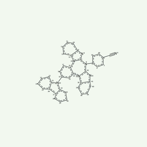 N#Cc1ccc(-n2c3nc4ccccc4n3c3ccc(-n4c5ccccc5c5ccccc54)cc3n3c4ccccc4nc23)cc1